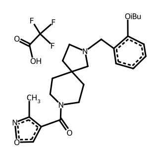 Cc1nocc1C(=O)N1CCC2(CCN(Cc3ccccc3OCC(C)C)C2)CC1.O=C(O)C(F)(F)F